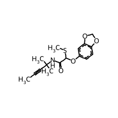 CC#CC(C)(C)NC(=O)C(Oc1ccc2c(c1)OCO2)SC